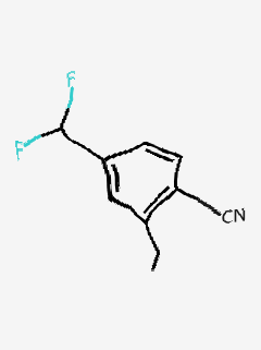 Cc1cc(C(F)F)ccc1C#N